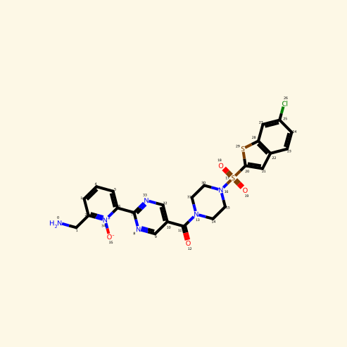 NCc1cccc(-c2ncc(C(=O)N3CCN(S(=O)(=O)c4cc5ccc(Cl)cc5s4)CC3)cn2)[n+]1[O-]